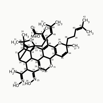 COC(=O)/C(C)=C\CC12OC(C)(C)C3CC(C1=O)C(C(/C(N)=N/O)/C(N)=N\O)C1C4=NCOC5C6=C(OC(C)(CCC=C(C)C)C=C6)C(CC=C(C)C)=C(OC132)C45